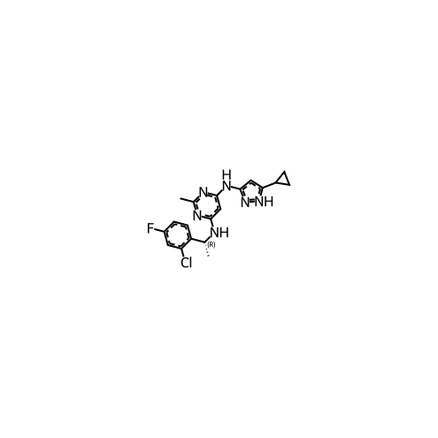 Cc1nc(Nc2cc(C3CC3)[nH]n2)cc(N[C@H](C)c2ccc(F)cc2Cl)n1